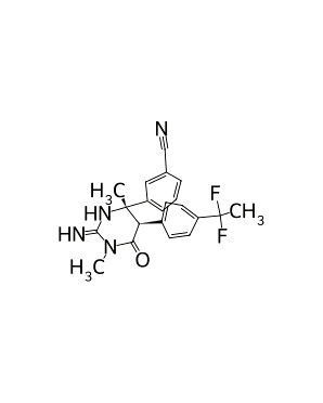 CN1C(=N)N[C@](C)(c2cccc(C#N)c2)[C@@H](c2ccc(C(C)(F)F)cc2)C1=O